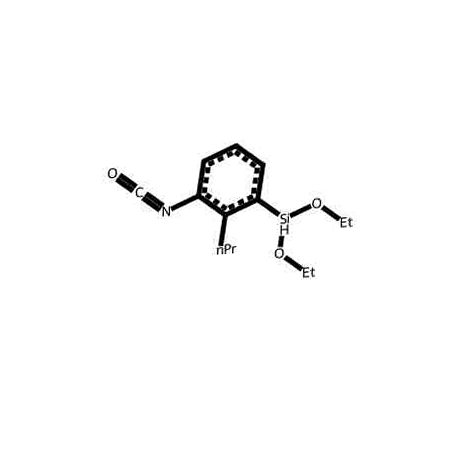 CCCc1c(N=C=O)cccc1[SiH](OCC)OCC